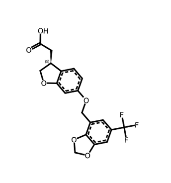 O=C(O)C[C@@H]1COc2cc(OCc3cc(C(F)(F)F)cc4c3OCO4)ccc21